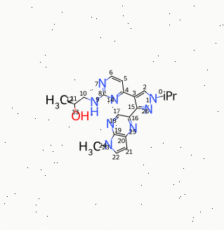 CC(C)n1cc(-c2ccnc(NC[C@H](C)O)n2)c(-c2cnc3c(ccn3C)n2)n1